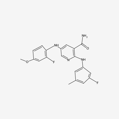 COc1ccc(Nc2cnc(Nc3cc(C)cc(F)c3)c(C(N)=O)c2)c(F)c1